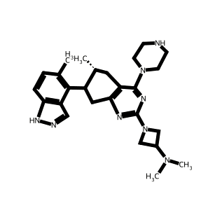 Cc1ccc2[nH]ncc2c1C1Cc2nc(N3CC(N(C)C)C3)nc(N3CCNCC3)c2C[C@H]1C